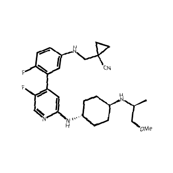 COC[C@H](C)N[C@H]1CC[C@H](Nc2cc(-c3cc(NCC4(C#N)CC4)ccc3F)c(F)cn2)CC1